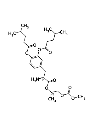 COC(=O)OC[C@H](C)OC(=O)[C@@H](N)Cc1ccc(OC(=O)CCC(C)C)c(OC(=O)CCC(C)C)c1